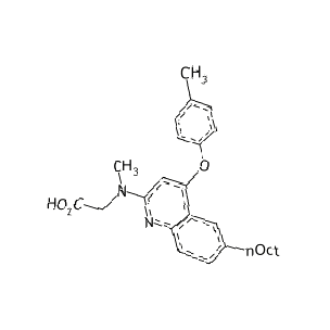 CCCCCCCCc1ccc2nc(N(C)CC(=O)O)cc(Oc3ccc(C)cc3)c2c1